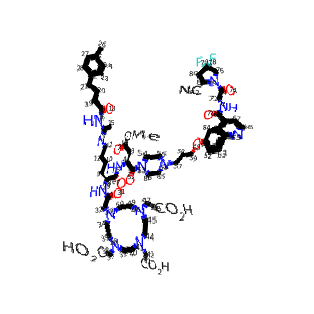 COC(=O)C[C@H](NC(=O)[C@H](CCCC/N=C(\C)NC(=O)CCCc1ccc(C)cc1)NC(=O)CN1CCN(CC(=O)O)CCN(CC(=O)O)CCN(CC(=O)O)CC1)C(=O)N1CCN(CCCOc2ccc3nccc(C(=O)NCC(=O)N4CC(F)(F)C[C@@H]4C#N)c3c2)CC1